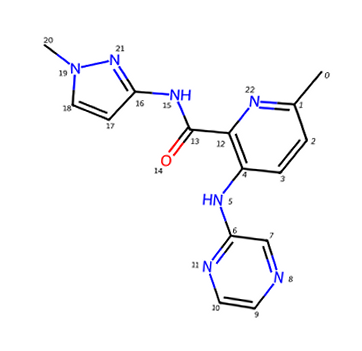 Cc1ccc(Nc2cnccn2)c(C(=O)Nc2ccn(C)n2)n1